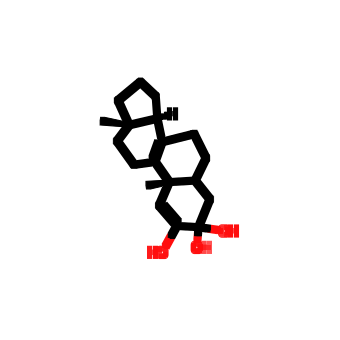 C[C@@]12CCC[C@H]1C1=C(CC2)[C@@]2(C)C=C(O)C(O)(O)CC2CC1